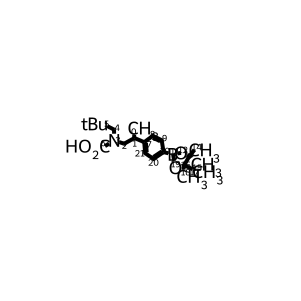 CC(CN(CC(C)(C)C)C(=O)O)c1ccc(B2OC(C)(C)C(C)(C)O2)cc1